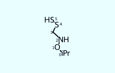 CC(C)ONCSS